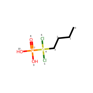 CCCCS(Cl)(Cl)P(=O)(O)O